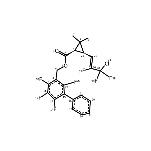 CC1(C)[C@H](C(=O)OCc2c(F)c(F)c(F)c(-c3ccccc3)c2F)[C@@H]1C=C(F)C(F)(F)Cl